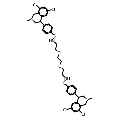 CN1Cc2c(Cl)cc(Cl)cc2C(c2ccc(SNCCOCCOCCNSc3ccc(C4CN(C)Cc5c(Cl)cc(Cl)cc54)cc3)cc2)C1